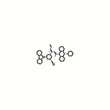 C=C/C=C(\C=C(/C)c1c2ccccc2c(-c2ccccc2)c2ccccc12)c1cc(C#N)cc(-n2c3ccccc3c3ccccc32)c1